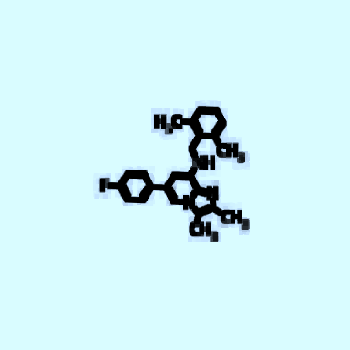 Cc1cccc(C)c1CNc1cc(-c2ccc(F)cc2)cn2c(C)c(C)nc12